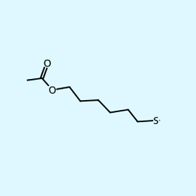 CC(=O)OCCCCCC[S]